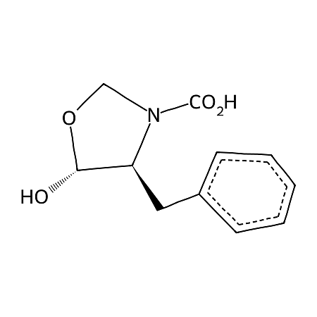 O=C(O)N1CO[C@@H](O)[C@@H]1Cc1ccccc1